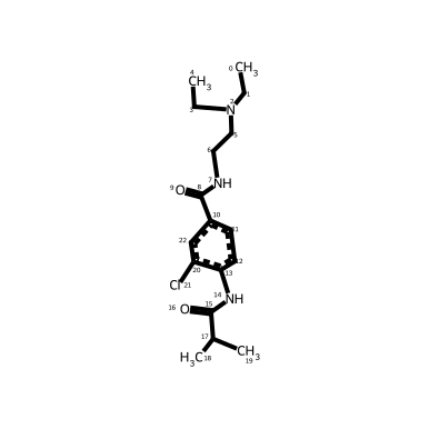 CCN(CC)CCNC(=O)c1ccc(NC(=O)C(C)C)c(Cl)c1